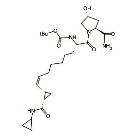 CC(C)(C)OC(=O)N[C@@H](CCCCC/C=C\[C@@H]1C[C@@H]1C(=O)NC1CC1)C(=O)N1C[C@H](O)C[C@H]1C(N)=O